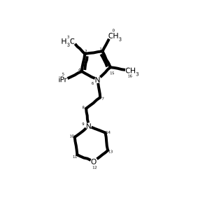 Cc1c(C)c(C(C)C)n(CCN2CCOCC2)c1C